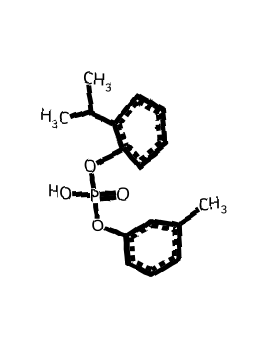 Cc1cccc(OP(=O)(O)Oc2ccccc2C(C)C)c1